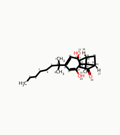 CCCCCCC(C)(C)C1=CC(O)C(C2(C)[C@@H]3CCC(=O)[C@H]2C3)C(O)=C1